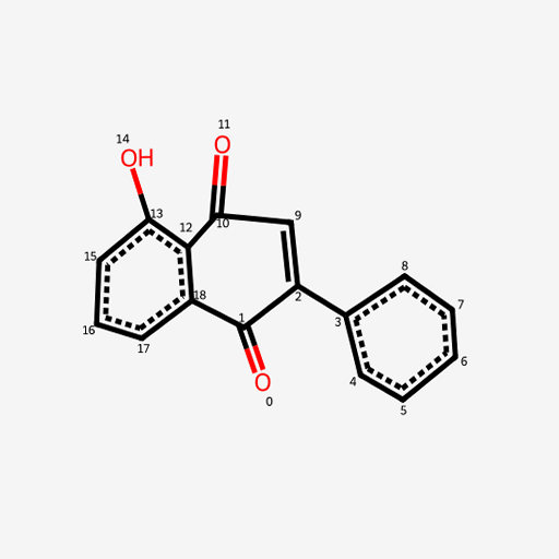 O=C1C(c2ccccc2)=CC(=O)c2c(O)cccc21